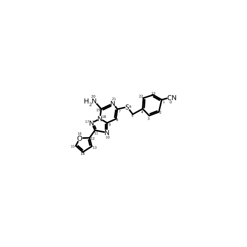 N#Cc1ccc(CSc2cc3nc(-c4ccco4)nn3c(N)n2)cc1